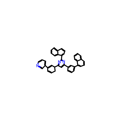 C1=CC(c2cccnc2)=CC(c2cc(-c3cccc(-c4cccc5ccccc45)c3)nc(-c3cccc4ccccc34)n2)C1